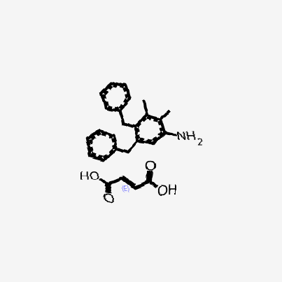 Cc1c(N)cc(Cc2ccccc2)c(Cc2ccccc2)c1C.O=C(O)/C=C/C(=O)O